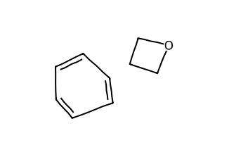 C1COC1.c1ccccc1